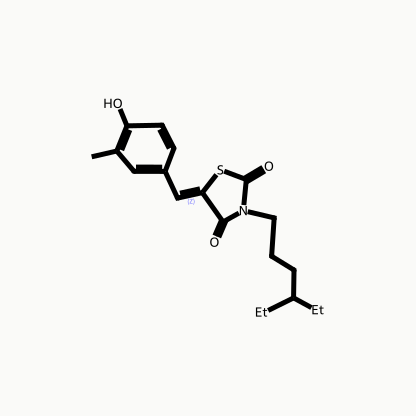 CCC(CC)CCCN1C(=O)S/C(=C\c2ccc(O)c(C)c2)C1=O